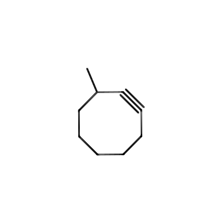 CC1C#CCCCCC1